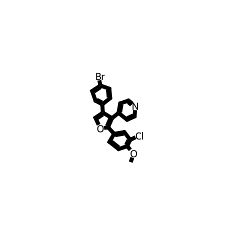 COc1ccc(-c2occ(-c3ccc(Br)cc3)c2-c2ccncc2)cc1Cl